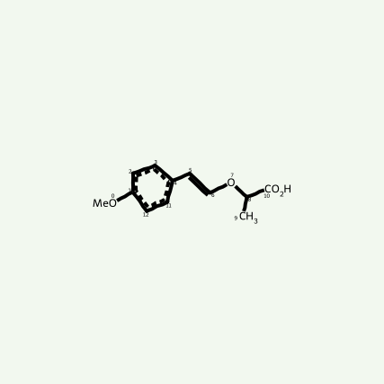 COc1ccc(C=COC(C)C(=O)O)cc1